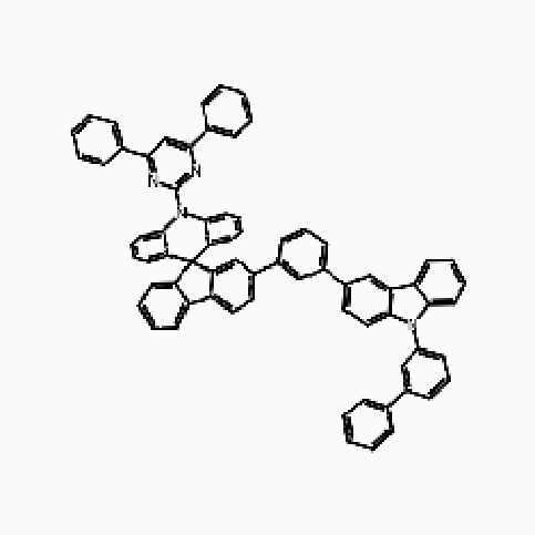 c1ccc(-c2cccc(-n3c4ccccc4c4cc(-c5cccc(-c6ccc7c(c6)C6(c8ccccc8-7)c7ccccc7N(c7nc(-c8ccccc8)cc(-c8ccccc8)n7)c7ccccc76)c5)ccc43)c2)cc1